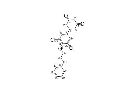 O=C1CC(=O)CC(c2cc(Cl)c(OCCCc3ccccc3)c(Cl)c2)C1